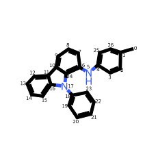 Cc1ccc(Nc2cccc3c4ccccc4n(-c4ccccc4)c23)cc1